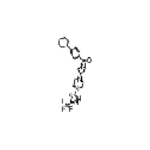 O=C(c1ccc(C2CCCCC2)cc1)N1CC(N2CCN(c3nnc(C(F)(F)F)s3)CC2)C1